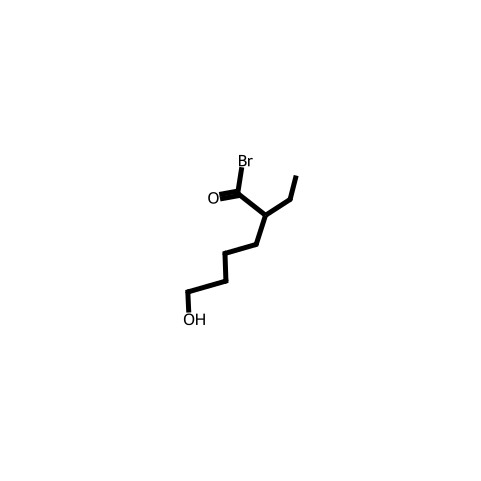 CCC(CCCCO)C(=O)Br